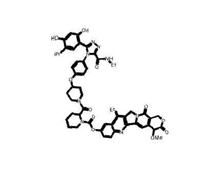 CCNC(=O)c1nnc(-c2cc(C(C)C)c(O)cc2O)n1-c1ccc(OC2CCN(C(=O)C3CCCCN3C(=O)Oc3ccc4nc5c(c(CC)c4c3)Cn3c-5cc4c(c3=O)COC(=O)C4OC)CC2)cc1